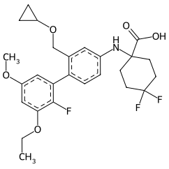 CCOc1cc(OC)cc(-c2ccc(NC3(C(=O)O)CCC(F)(F)CC3)cc2COC2CC2)c1F